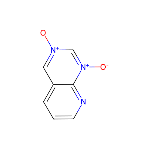 [O-][n+]1cc2cccnc2[n+]([O-])c1